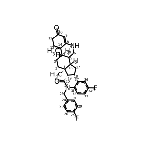 C[C@]12CC[C@H]3[C@@H](CNC4=CC(=O)CC[C@@]43C)[C@@H]1CC[C@@H]2C(=O)N(Cc1ccc(F)cc1)c1ccc(F)cc1